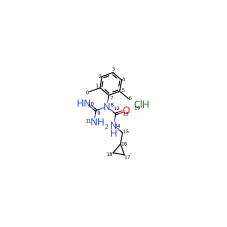 Cc1cccc(C)c1N(C(=N)N)C(=O)NCC1CC1.Cl